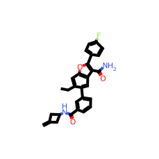 C=C1CC(NC(=O)c2cccc(-c3cc4c(C(N)=O)c(-c5ccc(F)cc5)oc4cc3CC)c2)C1